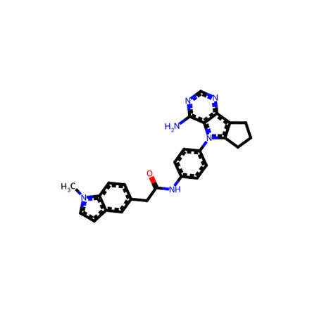 Cn1ccc2cc(CC(=O)Nc3ccc(-n4c5c(c6ncnc(N)c64)CCC5)cc3)ccc21